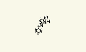 O=C1CS/C(=N\Cc2ccccc2)N1